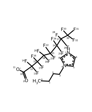 CCCC[n+]1cc[nH]c1.O=C([O-])C(F)(F)C(F)(F)C(F)(F)C(F)(F)C(F)(F)C(F)(F)C(F)(F)F